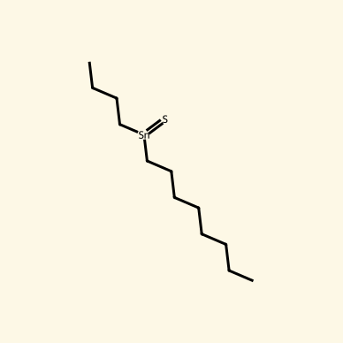 CCCCCCC[CH2][Sn](=[S])[CH2]CCC